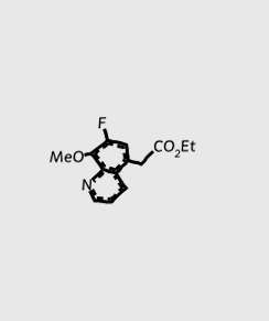 CCOC(=O)Cc1cc(F)c(OC)c2ncccc12